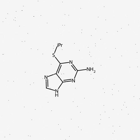 CC(C)Sc1nc(N)nc2[nH]cnc12